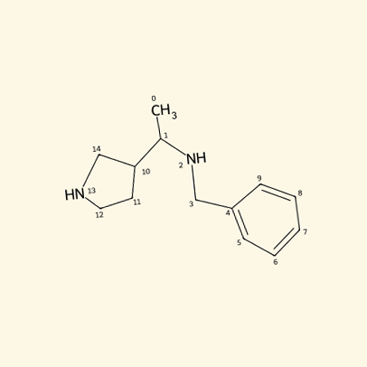 CC(NCc1ccccc1)C1CCNC1